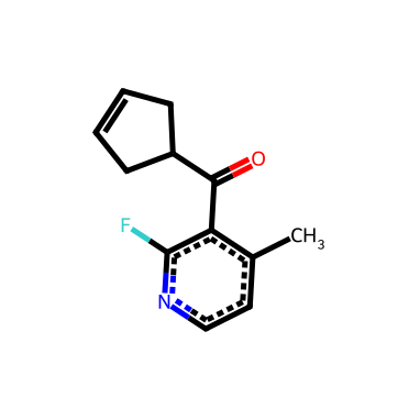 Cc1ccnc(F)c1C(=O)C1CC=CC1